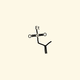 C=C(C)CS(=O)(=O)CC